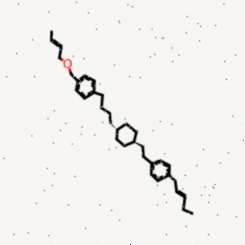 CC=CCOCc1ccc(CCCC[C@H]2CC[C@H](CCc3ccc(CC=CCC)cc3)CC2)cc1